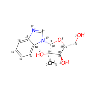 C[C@@]1(O)[C@H](O)[C@@H](CO)O[C@H]1n1cnc2ccccc21